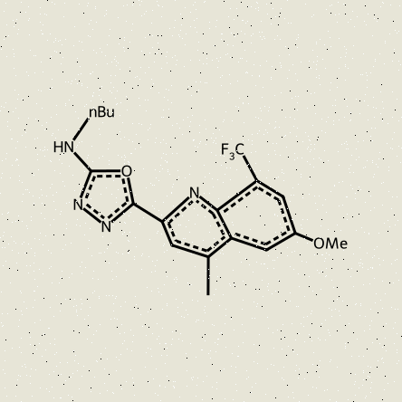 CCCCNc1nnc(-c2cc(C)c3cc(OC)cc(C(F)(F)F)c3n2)o1